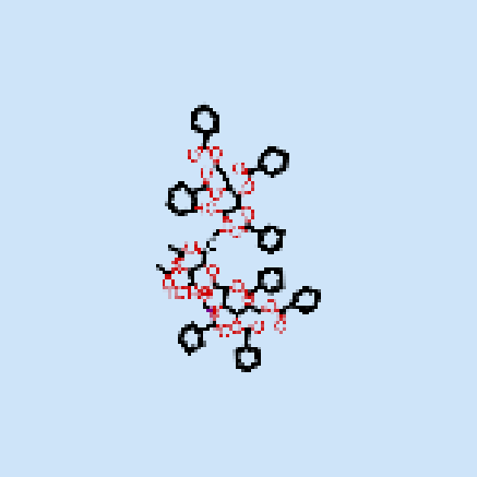 CC(=O)OC(CCOC(O)C(OC(=O)c1ccccc1)C(OC(=O)c1ccccc1)C(CCOC(=O)c1ccccc1)OC(=O)c1ccccc1)C(OC(O)C(OC(=O)c1ccccc1)C(OC(=O)c1ccccc1)C(CCOC(=O)c1ccccc1)OC(=O)c1ccccc1)C(OC(C)=O)C(O)OCI